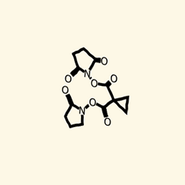 O=C1CCCN1OC(=O)C1(C(=O)ON2C(=O)CCC2=O)CC1